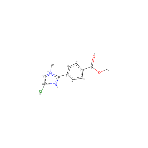 COC(=O)c1ccc(-c2nc(Cl)cn2C)cc1